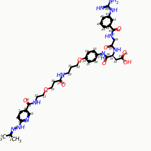 CC(C)=NNc1ccc(C(=O)NCCOCCC(=O)NCCCOc2ccc(NC(=O)[C@H](CC(=O)O)NC(=O)CNC(=O)c3cccc(NC(=N)N)c3)cc2)cn1